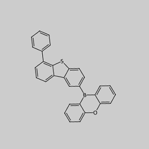 c1ccc(-c2cccc3c2sc2ccc(B4c5ccccc5Oc5ccccc54)cc23)cc1